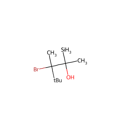 CC(C)(C)C(C)(Br)C(C)(O)[SiH3]